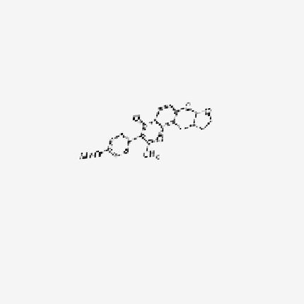 COc1ccc(-c2c(C)oc3c4c(ccc3c2=O)OC2OCCC2C4)cc1